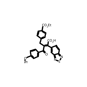 CCOC(=O)c1ccc(CC(C(=O)c2ccc(OC(C)C)cc2)=C(C(=O)O)c2ccc3nsnc3c2)cc1